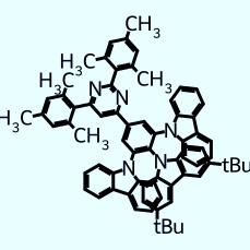 Cc1cc(C)c(-c2cc(-c3cc(-n4c5ccccc5c5ccccc54)c(-n4c5ccc(C(C)(C)C)cc5c5cc(C(C)(C)C)ccc54)c(-n4c5ccccc5c5ccccc54)c3)nc(-c3c(C)cc(C)cc3C)n2)c(C)c1